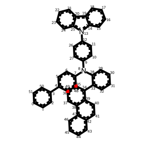 c1ccc(-c2ccc(N(c3ccc(-n4c5ccccc5c5ccccc54)cc3)c3ccccc3-c3cccc4c3ccc3ccccc34)cc2)cc1